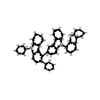 c1ccc(-c2ccc3c(c2-c2ccc4c(c2)c2ccccc2n4-c2cccc4c2oc2ccccc24)c2ccccc2n3-c2ccccc2)cc1